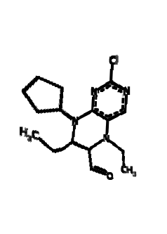 CCC1C(C=O)N(CC)c2cnc(Cl)nc2N1C1CCCC1